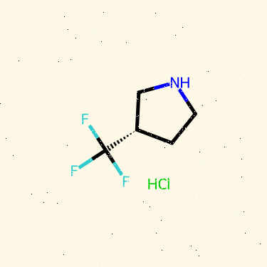 Cl.FC(F)(F)[C@H]1CCNC1